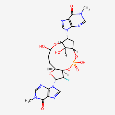 Cn1cnc2c(ncn2[C@@H]2C[C@@H]3OP(=O)(O)O[C@H]4[C@@H](F)[C@H](n5cnc6c(=O)n(C)cnc65)O[C@@H]4CCC(O)O[C@@H]2[C@@H]3O)c1=O